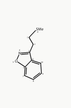 CSCCc1noc2ccccc12